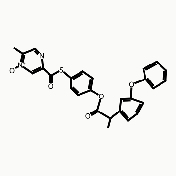 Cc1cnc(C(=O)Sc2ccc(OC(=O)C(C)c3cccc(Oc4ccccc4)c3)cc2)c[n+]1[O-]